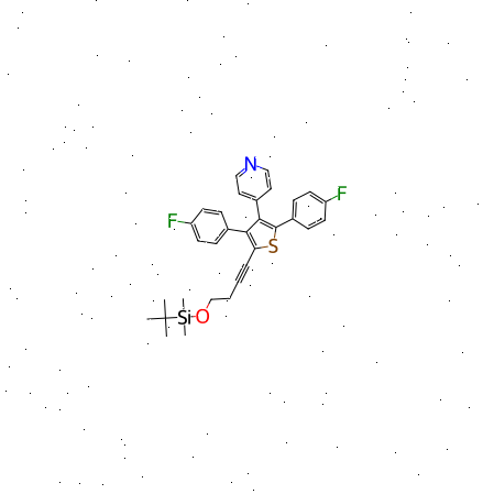 CC(C)(C)[Si](C)(C)OCCC#Cc1sc(-c2ccc(F)cc2)c(-c2ccncc2)c1-c1ccc(F)cc1